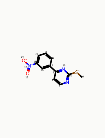 CSc1nccc(-c2cccc([N+](=O)[O-])c2)n1